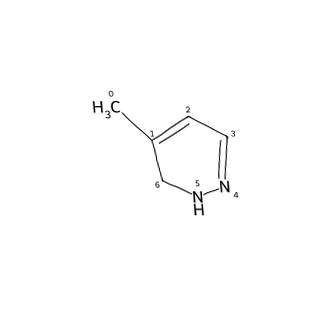 CC1=CC=NNC1